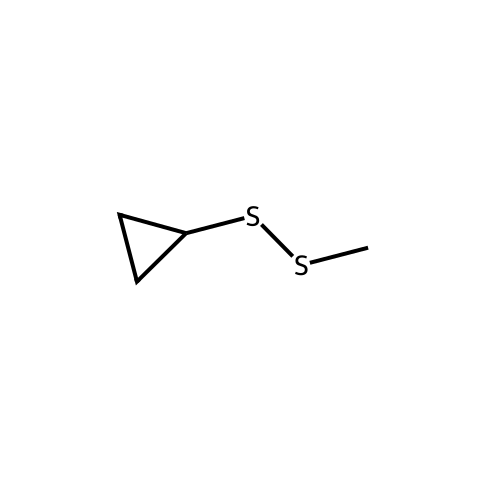 CSSC1CC1